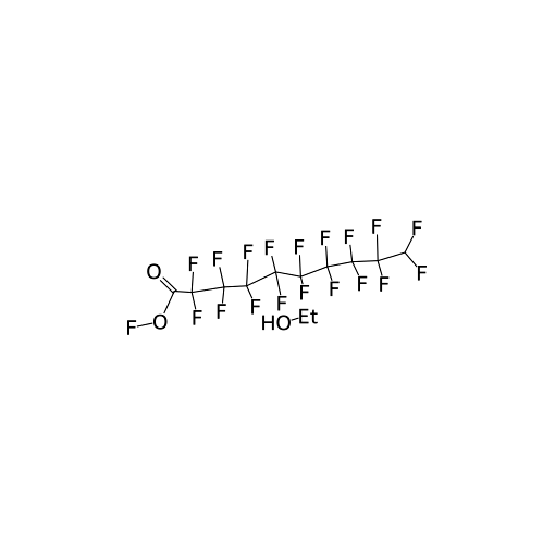 CCO.O=C(OF)C(F)(F)C(F)(F)C(F)(F)C(F)(F)C(F)(F)C(F)(F)C(F)(F)C(F)(F)C(F)F